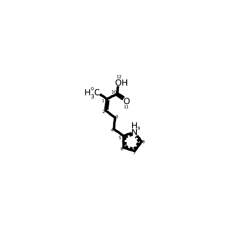 CC(=CCCc1ccc[nH]1)C(=O)O